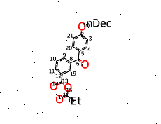 CCCCCCCCCCOc1ccc(C(=O)c2cccc(C(=O)OC(=O)CC)c2)cc1